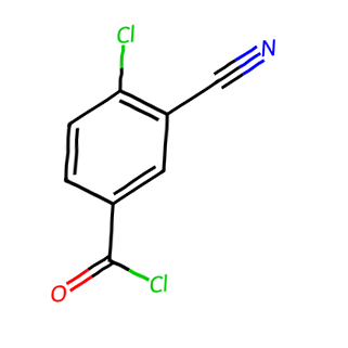 N#Cc1cc(C(=O)Cl)ccc1Cl